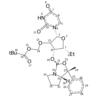 CC[C@H]1O[C@@H](n2ccc(=O)[nH]c2=O)C(OCOC(=O)C(C)(C)C)[C@H]1O[P@@]1O[C@](C)(c2ccccc2)[C@@H]2CCCN21